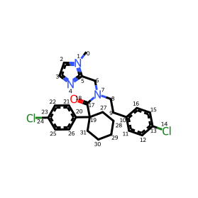 Cn1ccnc1CN(CCc1ccc(Cl)cc1)C(=O)C1(c2ccc(Cl)cc2)CCCCC1